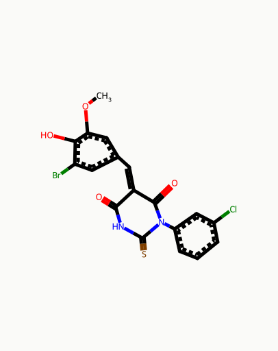 COc1cc(C=C2C(=O)NC(=S)N(c3cccc(Cl)c3)C2=O)cc(Br)c1O